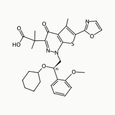 COc1ccccc1[C@H](Cn1nc(C(C)(C)C(=O)O)c(=O)c2c(C)c(-c3ncco3)sc21)OC1CCCCC1